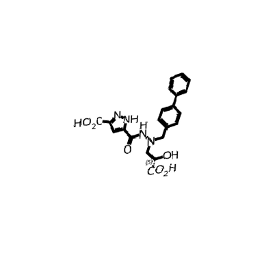 O=C(O)c1cc(C(=O)NN(Cc2ccc(-c3ccccc3)cc2)C[C@H](O)C(=O)O)[nH]n1